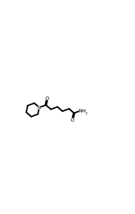 NC(=O)CCCCC(=O)N1CCCCC1